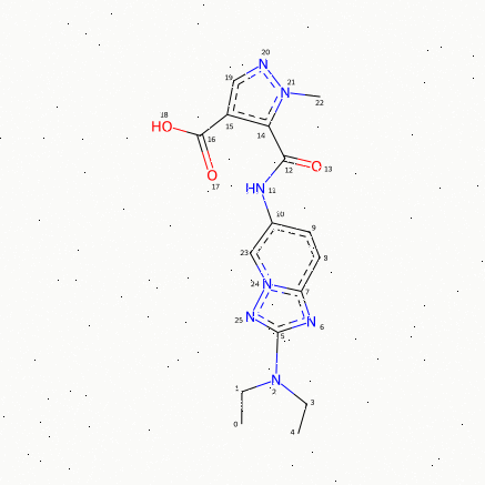 CCN(CC)c1nc2ccc(NC(=O)c3c(C(=O)O)cnn3C)cn2n1